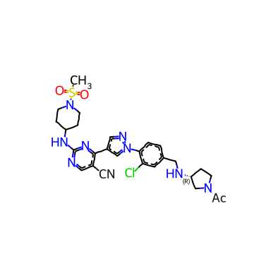 CC(=O)N1CC[C@@H](NCc2ccc(-n3cc(-c4nc(NC5CCN(S(C)(=O)=O)CC5)ncc4C#N)cn3)c(Cl)c2)C1